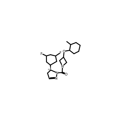 CC1CCCCC1OC1CN(C(=O)N2N=CC[C@H]2C2CC(F)CC(F)C2)C1